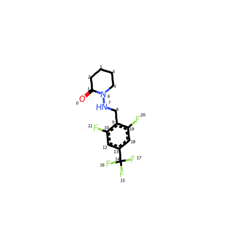 O=C1CCCCN1NCc1c(F)cc(C(F)(F)F)cc1F